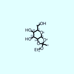 CCOC1(C)OC2OC(CO)C(O)C(O)C2O1